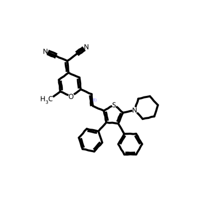 CC1=CC(=C(C#N)C#N)C=C(/C=C/c2sc(N3CCCCC3)c(-c3ccccc3)c2-c2ccccc2)O1